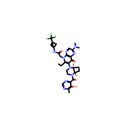 CCc1c(N2CCN(C(=O)c3ncnc(C)c3O)[C@H]3CC[C@@H]32)c(=O)c2nc(N(C)C)cnc2n1CC(=O)NC12CC(C(F)(F)F)(C1)C2